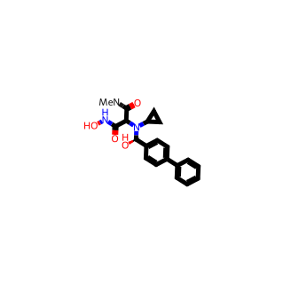 CNC(=O)C(C(=O)NO)N(C1CC1)[C@H](O)c1ccc(-c2ccccc2)cc1